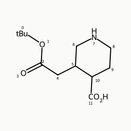 CC(C)(C)OC(=O)CC1CNCCC1C(=O)O